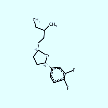 CCC(C)CC[C@H]1CC[C@@H](c2ccc(F)c(F)c2)O1